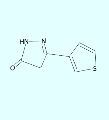 O=C1CC(c2ccsc2)=NN1